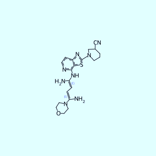 N#CC1CCCN(c2nc3ccnc(N/C(N)=C/C=C(\N)N4CCOCC4)c3s2)C1